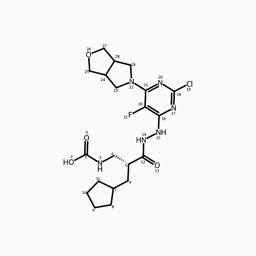 O=C(O)NC[C@@H](CC1CCCC1)C(=O)NNc1nc(Cl)nc(N2CC3COCC3C2)c1F